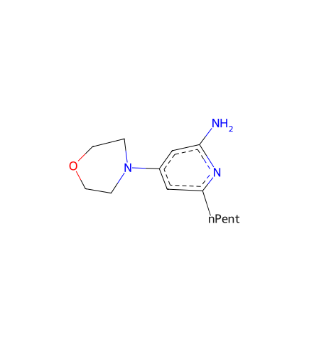 CCCCCc1cc(N2CCOCC2)cc(N)n1